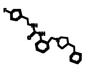 O=C(NCCc1ccc(F)cc1)Nc1ccccc1CN1CCC(Cc2ccccc2)CC1